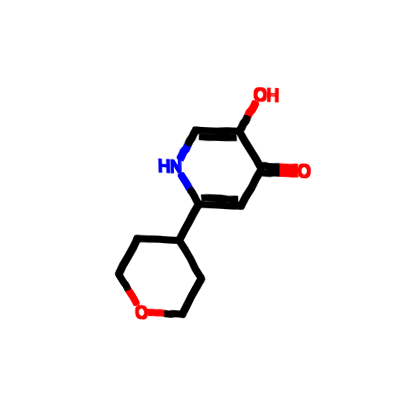 O=c1cc(C2CCOCC2)[nH]cc1O